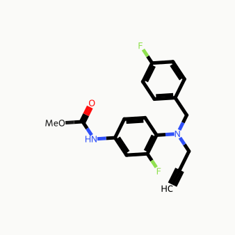 C#CCN(Cc1ccc(F)cc1)c1ccc(NC(=O)OC)cc1F